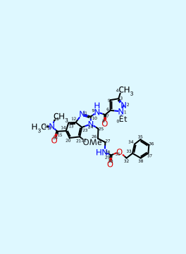 CCn1nc(C)cc1C(=O)Nc1nc2cc(C(=O)N(C)C)cc(OC)c2n1CCCNC(=O)OCc1ccccc1